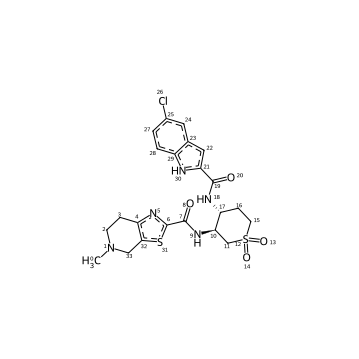 CN1CCc2nc(C(=O)N[C@@H]3CS(=O)(=O)CC[C@H]3NC(=O)c3cc4cc(Cl)ccc4[nH]3)sc2C1